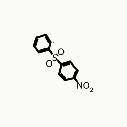 O=[N+]([O-])c1ccc(S(=O)(=O)c2[c]cccc2)cc1